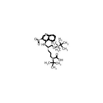 CC(C)(C)N(CCC[C@@H](CO[Si](C)(C)C(C)(C)C)Nc1c([N+](=O)[O-])cnc2ccccc12)C(=O)O